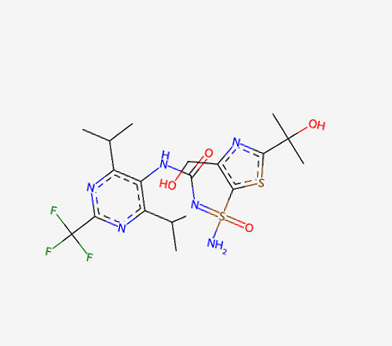 CC(C)c1nc(C(F)(F)F)nc(C(C)C)c1NC(=O)N=S(N)(=O)c1sc(C(C)(C)O)nc1CO